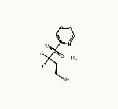 Cl.NCCC(F)(F)S(=O)(=O)c1ccccn1